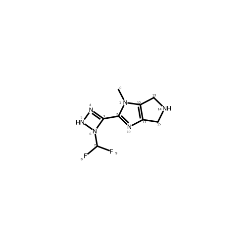 Cn1c(-c2n[nH]n2C(F)F)nc2c1CNC2